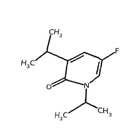 CC(C)c1cc(F)cn(C(C)C)c1=O